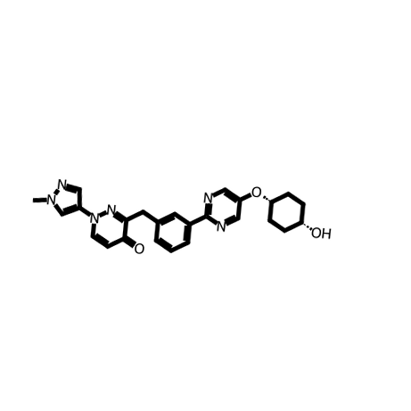 Cn1cc(-n2ccc(=O)c(Cc3cccc(-c4ncc(O[C@H]5CC[C@@H](O)CC5)cn4)c3)n2)cn1